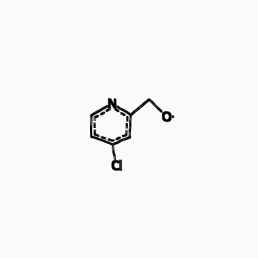 [O]Cc1cc(Cl)ccn1